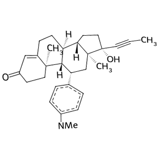 CC#C[C@]1(O)CC[C@H]2[C@@H]3CCC4=CC(=O)CC[C@]4(C)[C@H]3[C@@H](c3ccc(NC)cc3)C[C@@]21C